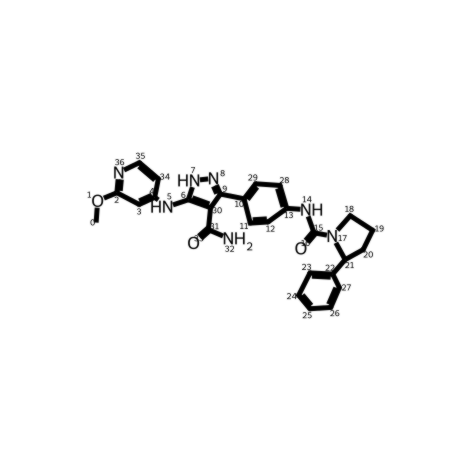 COc1cc(Nc2[nH]nc(-c3ccc(NC(=O)N4CCCC4c4ccccc4)cc3)c2C(N)=O)ccn1